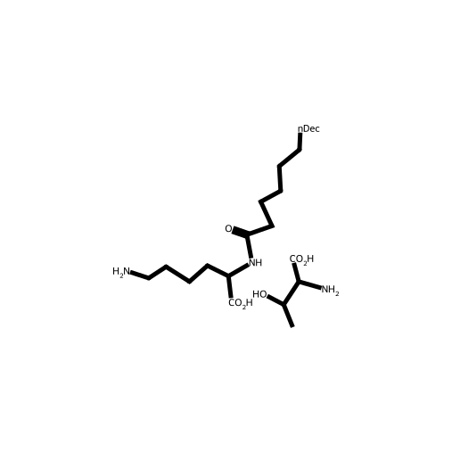 CC(O)C(N)C(=O)O.CCCCCCCCCCCCCCCC(=O)NC(CCCCN)C(=O)O